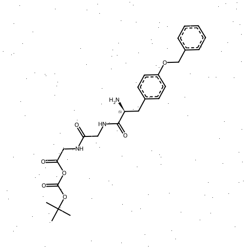 CC(C)(C)OC(=O)OC(=O)CNC(=O)CNC(=O)[C@@H](N)Cc1ccc(OCc2ccccc2)cc1